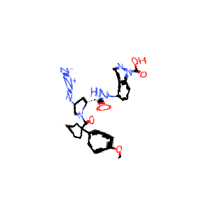 COc1ccc(C2(C(=O)N3C[C@H](N=[N+]=[N-])C[C@@H]3C(=O)Nc3cccc4c3cnn4C(=O)O)CCCC2)cc1